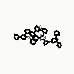 c1ccc(-c2cc(-c3ccccc3)cc(-c3cccc(-c4nc(-c5ccccc5)nc(-c5cccc6sc7ccc(-c8ccc9c(c8)c8ccccc8n9-c8ccc(-c9ccccc9)cc8-c8ccccc8)cc7c56)n4)c3)c2)cc1